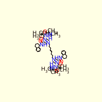 CN[C@@H](C)C(=O)N[C@H](C(=O)N1CCN(CCC/C=C/CCCN2CCN(C(=O)[C@@H](NC(=O)[C@H](C)NC)C(C)(C)C)[C@H](C(=O)N[C@@H]3CCCc4ccccc43)C2)C[C@H]1C(=O)N[C@@H]1CCCc2ccccc21)C(C)(C)C